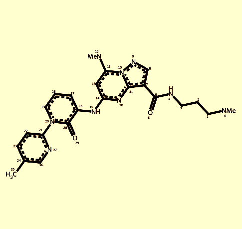 CNCCCNC(=O)c1cnn2c(NC)cc(Nc3cccn(-c4ccc(C)cn4)c3=O)nc12